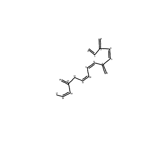 C=CC(=C)/C=C\C(=C)/C=C\C=C/CC(=C)/C=C\C